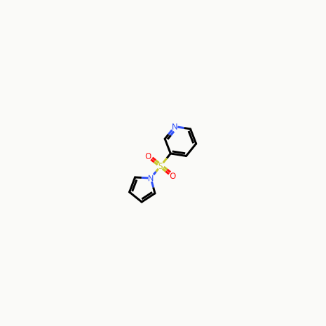 O=S(=O)(c1cccnc1)n1cccc1